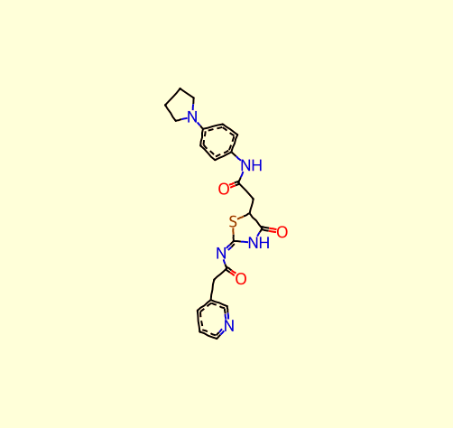 O=C(Cc1cccnc1)/N=C1\NC(=O)C(CC(=O)Nc2ccc(N3CCCC3)cc2)S1